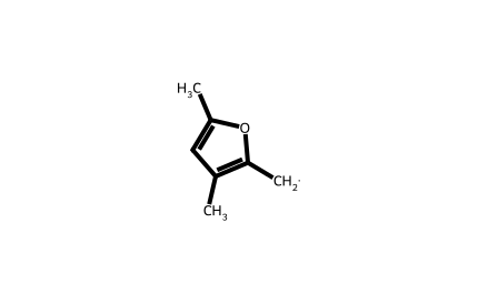 [CH2]c1oc(C)cc1C